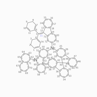 C1=CCCC(/C(C2=CCCC=C2)=C2/c3ccccc3-c3ccc(N(c4ccc5c(c4)C4(c6ccccc6-c6ccccc64)c4ccccc4-5)c4ccc5c(c4)c4ccccc4n5-c4cccc5ccccc45)cc32)=C1